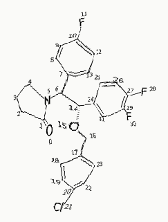 O=C1CCCN1C(c1ccc(F)cc1)[C@@H](OCc1ccc(Cl)cc1)c1ccc(F)c(F)c1